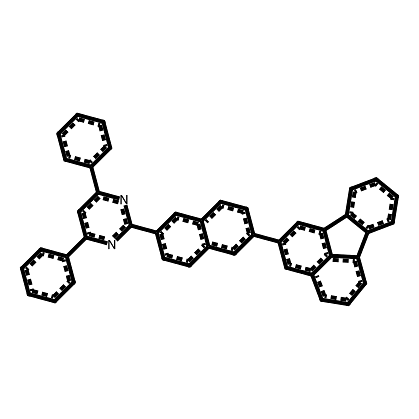 c1ccc(-c2cc(-c3ccccc3)nc(-c3ccc4cc(-c5cc6c7c(cccc7c5)-c5ccccc5-6)ccc4c3)n2)cc1